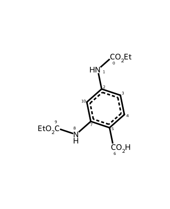 CCOC(=O)Nc1ccc(C(=O)O)c(NC(=O)OCC)c1